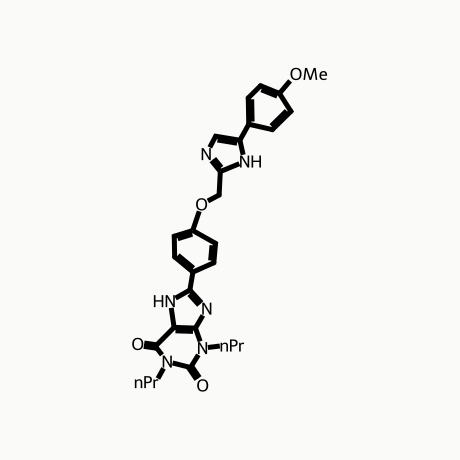 CCCn1c(=O)c2[nH]c(-c3ccc(OCc4ncc(-c5ccc(OC)cc5)[nH]4)cc3)nc2n(CCC)c1=O